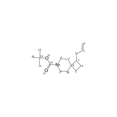 C=CCC1CCC12CCN(C(=O)OC(C)(C)C)CC2